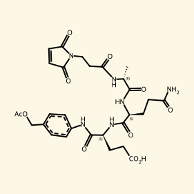 CC(=O)OCc1ccc(NC(=O)[C@H](CCC(=O)O)NC(=O)[C@H](CCC(N)=O)NC(=O)[C@@H](C)NC(=O)CCN2C(=O)C=CC2=O)cc1